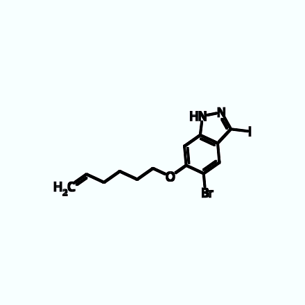 C=CCCCCOc1cc2[nH]nc(I)c2cc1Br